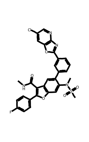 CNC(=O)c1c(-c2ccc(F)cc2)oc2cc(N(C)S(C)(=O)=O)c(-c3cccc(-c4nc5ncc(Cl)cc5o4)c3)cc12